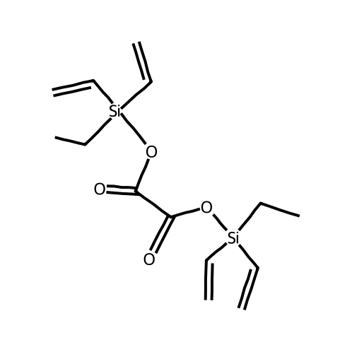 C=C[Si](C=C)(CC)OC(=O)C(=O)O[Si](C=C)(C=C)CC